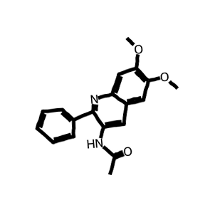 COc1cc2cc(NC(C)=O)c(-c3ccccc3)nc2cc1OC